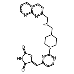 O=C1NC(=O)C(=Cc2ccnc(N3CCC(CNCc4ccc5cccnc5n4)CC3)n2)S1